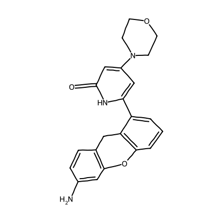 Nc1ccc2c(c1)Oc1cccc(-c3cc(N4CCOCC4)cc(=O)[nH]3)c1C2